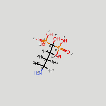 [2H]C([2H])(N)C([2H])([2H])C([2H])([2H])C(O)(P(=O)(O)O)P(=O)(O)O